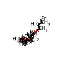 CC(C)CCCC(C)CCCC(C)CCCC(C)CCSCCNC(=O)CCNC(=O)[C@H](O)C(C)(C)COP(=O)(O)OP(=O)(O)OC[C@H]1O[C@@H](n2cnc3c(N)ncnc32)[C@H](O)[C@@H]1OP(=O)(O)O